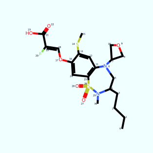 CCCCC1CN(C2COC2)c2cc(SC)c(O/C=C(\F)C(=O)O)cc2S(=O)(=O)N1C